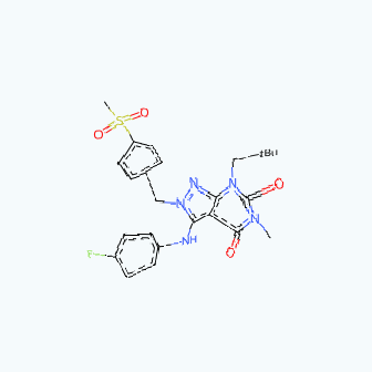 Cn1c(=O)c2c(Nc3ccc(F)cc3)n(Cc3ccc(S(C)(=O)=O)cc3)nc2n(CC(C)(C)C)c1=O